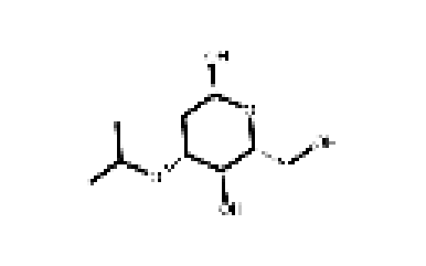 CC(C)O[C@@H]1C[C@@H](O)O[C@H](CO)[C@H]1O